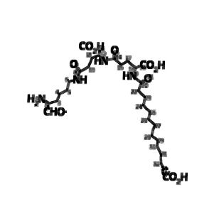 N[C@H]([C]=O)CCCCNC(=O)CC[C@H](NC(=O)CCC(NC(=O)CCCCCCCCCCCCC(=O)O)C(=O)O)C(=O)O